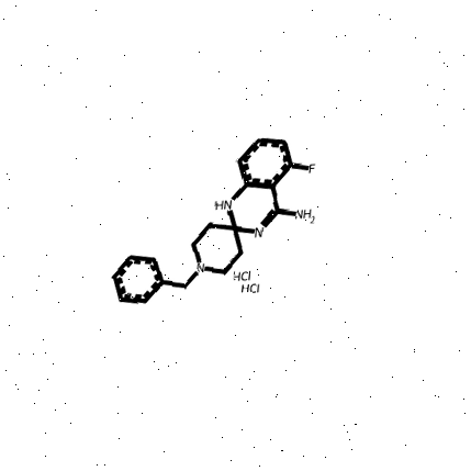 Cl.Cl.NC1=NC2(CCN(Cc3ccccc3)CC2)Nc2cccc(F)c21